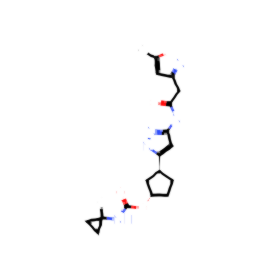 Cc1cc(CC(=O)Nc2cc([C@H]3CC[C@@H](OC(=O)NC4(C)CC4)C3)[nH]n2)no1